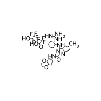 Cc1ccc2nc(C(=O)Nc3ccc4c(c3)OCCO4)nc(NC3CCCCC3NC(=N)N)c2c1.O=C(O)C(F)(F)F.O=C(O)C(F)(F)F